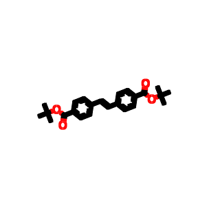 CC(C)(C)OC(=O)c1ccc(/C=C/c2ccc(C(=O)OC(C)(C)C)cc2)cc1